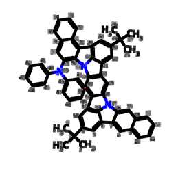 CC(C)(C)c1cc2c3cc4ccccc4cc3n3c4cc5c6cc(C(C)(C)C)cc7c8c9ccccc9cc(N(c9ccccc9)c9ccccc9)c8n(c5cc4c(c1)c23)c67